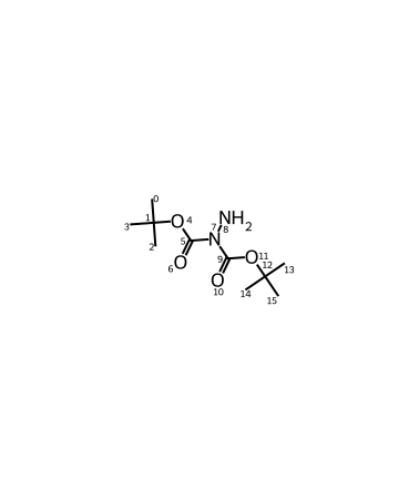 CC(C)(C)OC(=O)N(N)C(=O)OC(C)(C)C